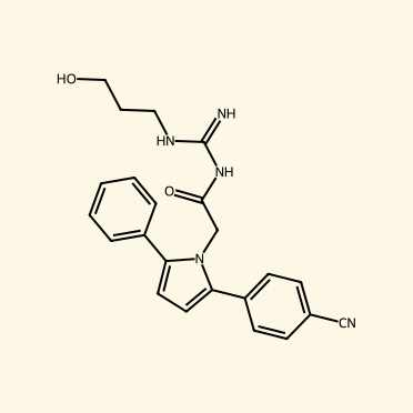 N#Cc1ccc(-c2ccc(-c3ccccc3)n2CC(=O)NC(=N)NCCCO)cc1